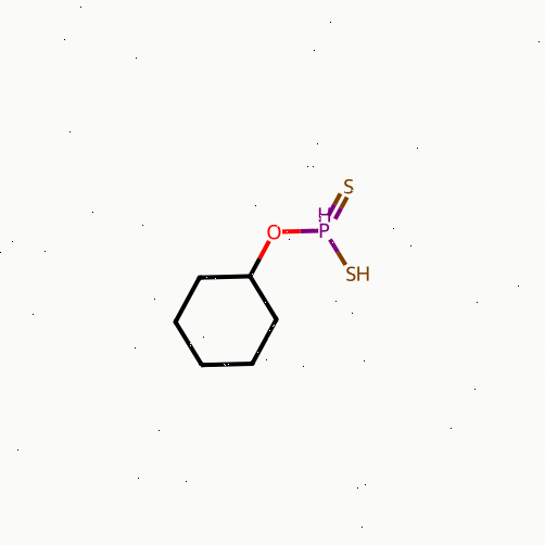 S=[PH](S)OC1CCCCC1